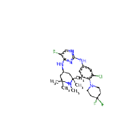 CN1C(C)(C)CC(Nc2nc(Nc3ccc(N4CCC(F)(F)CC4)c(Cl)c3)ncc2F)CC1(C)C